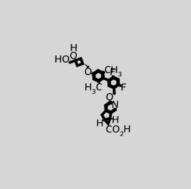 Cc1cc(OC[C@H]2C[C@](O)(CO)C2)cc(C)c1-c1cc(COc2cc3c(cn2)[C@H]2[C@@H](C3)[C@@H]2C(=O)O)c(F)cc1F